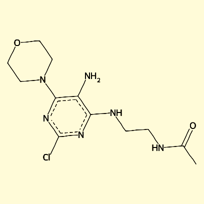 CC(=O)NCCNc1nc(Cl)nc(N2CCOCC2)c1N